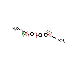 CCCCCCCCOc1ccc(-c2ccc(C(=O)Oc3ccc(C(=O)OC(CCCCCC)C(F)(F)F)cc3)cc2)cc1C